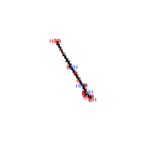 O=C(O)CCCCCCCCCCCCCCCCC(=O)NCCCOCCCCOCCCNC(=O)CCC(=O)N[C@@H](CCC(=O)O)C(=O)O